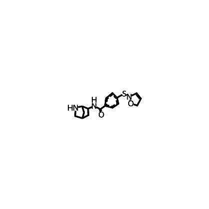 O=C(NC1CC2CNC1C2)c1ccc(SN2C=CCO2)cc1